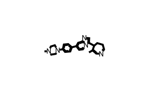 CC1=CN=CCCC1c1cnc2cc(-c3ccc(N4CCN(C)CC4)cc3)ccn12